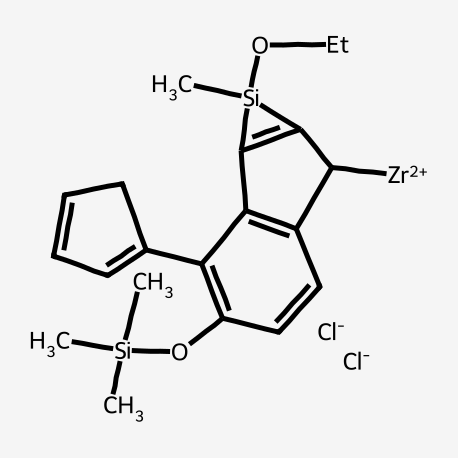 CCO[Si]1(C)C2=C1[CH]([Zr+2])c1ccc(O[Si](C)(C)C)c(C3=CC=CC3)c12.[Cl-].[Cl-]